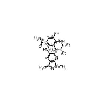 CC[C@H](N)[C@@H](CC)Nc1nc(Nc2cnc3c(c2)c(C)nn3C)c(C(N)=O)cc1F